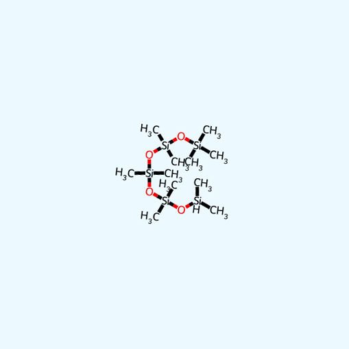 C[SiH](C)O[Si](C)(C)O[Si](C)(C)O[Si](C)(C)O[Si](C)(C)C